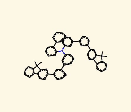 CC1(C)c2ccccc2-c2ccc(-c3cccc(-c4cccc(N(c5cccc(-c6cccc(-c7ccc8c(c7)C(C)(C)c7ccccc7-8)c6)c5)c5ccccc5-c5ccccc5)c4)c3)cc21